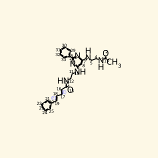 CC(=O)NCCNc1cc(NCCNC(=O)/C=C/C=C/c2ccccc2)nc(-c2ccccc2)n1